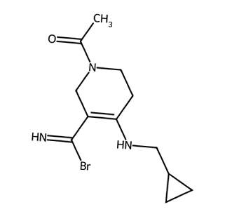 CC(=O)N1CCC(NCC2CC2)=C(C(=N)Br)C1